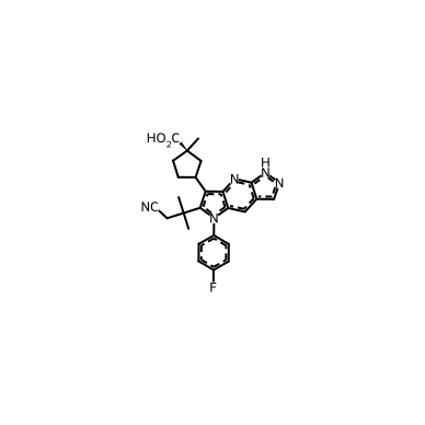 CC(C)(CC#N)c1c(C2CC[C@@](C)(C(=O)O)C2)c2nc3[nH]ncc3cc2n1-c1ccc(F)cc1